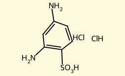 Cl.Cl.Nc1ccc(S(=O)(=O)O)c(N)c1